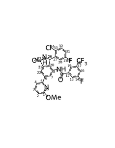 COc1cccc(-c2cc(NC(=O)c3cc(F)cc(C(F)(F)F)c3)c3c(c2)C(=O)NC3c2cc(F)ccc2Cl)n1